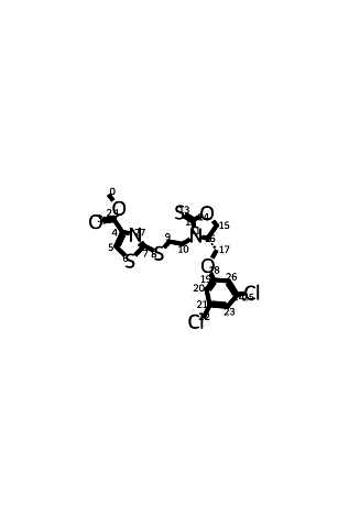 COC(=O)c1csc(SCCN2C(=S)OC[C@@H]2COc2cc(Cl)cc(Cl)c2)n1